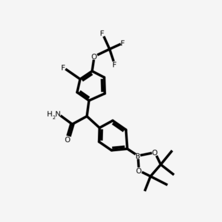 CC1(C)OB(c2ccc(C(C(N)=O)c3ccc(OC(F)(F)F)c(F)c3)cc2)OC1(C)C